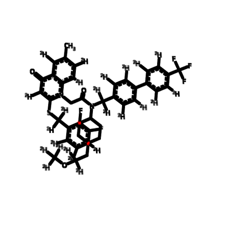 [2H]c1c([2H])c(F)c(F)c(C([2H])([2H])Sc2c([2H])c(=O)c3c([2H])c(C)c([2H])c([2H])c3n2CC(=O)N(C2CCN(CC([2H])([2H])OC([2H])([2H])[2H])CC2)C([2H])([2H])c2c([2H])c([2H])c(-c3c([2H])c([2H])c(C(F)(F)F)c([2H])c3[2H])c([2H])c2[2H])c1[2H]